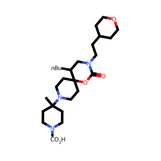 CCCCC1CN(CCC2CCOCC2)C(=O)OC12CCN(C1(C)CCN(C(=O)O)CC1)CC2